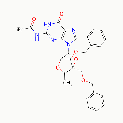 C=C1OC2C(OCc3ccccc3)[C@@]1(COCc1ccccc1)O[C@H]2n1cnc2c(=O)[nH]c(NC(=O)C(C)C)nc21